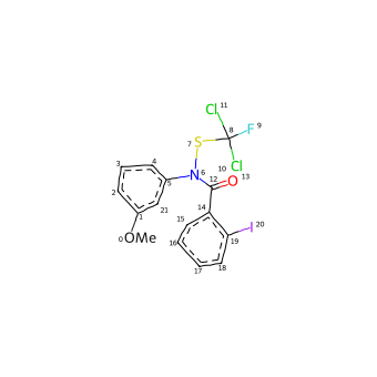 COc1cccc(N(SC(F)(Cl)Cl)C(=O)c2ccccc2I)c1